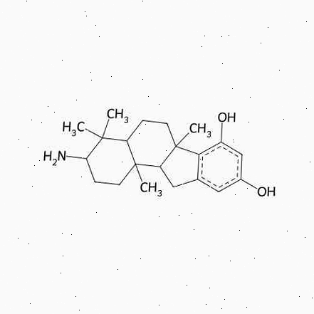 CC12CCC3C(C)(C)C(N)CCC3(C)C1Cc1cc(O)cc(O)c12